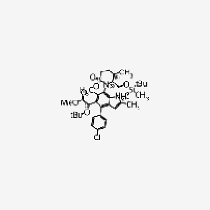 COC(=O)[C@@H](OC(C)(C)C)c1c(C)c(N2[C@H](CO[Si](C)(C)C(C)(C)C)[C@H](C)CCS2(=O)=O)c2[nH]c(C)cc2c1-c1ccc(Cl)cc1